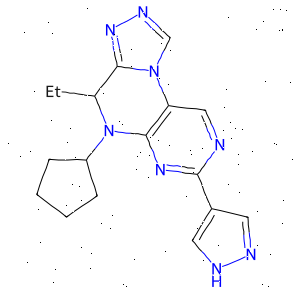 CCC1c2nncn2-c2cnc(-c3cn[nH]c3)nc2N1C1CCCC1